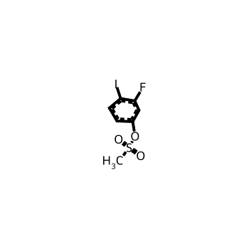 CS(=O)(=O)Oc1ccc(I)c(F)c1